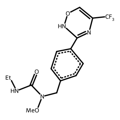 CCNC(=O)N(Cc1ccc(C2=NC(C(F)(F)F)=CON2)cc1)OC